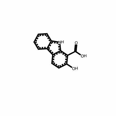 O=C(O)c1c(O)ccc2c1[nH]c1ccccc12